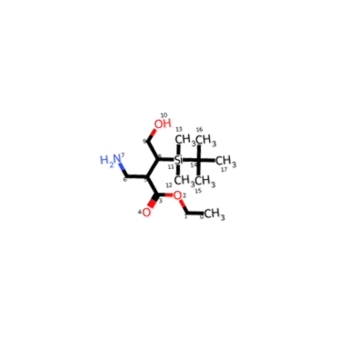 CCOC(=O)C(CN)C(CO)[Si](C)(C)C(C)(C)C